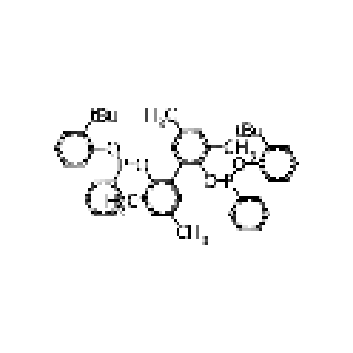 Cc1cc(C)c(OP(Oc2ccccc2C(C)(C)C)c2ccccc2)c(-c2cc(C)cc(C)c2OP(Oc2ccccc2C(C)(C)C)c2ccccc2)c1